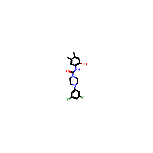 Cc1cc(O)c(NC(=O)N2CCN(c3cc(F)cc(F)c3)CC2)cc1C